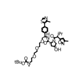 Cc1cc(C(C(=O)N2C[C@H](O)C[C@H]2C(=O)N[C@@H](COCCOCCOCCN(C)C(=O)OC(C)(C)C)c2ccc(-c3scnc3C)cc2)C(C)C)on1